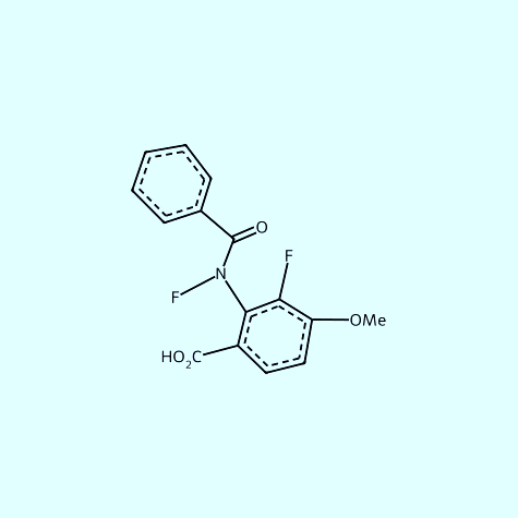 COc1ccc(C(=O)O)c(N(F)C(=O)c2ccccc2)c1F